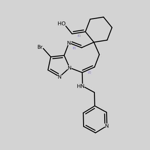 O/C=C1\CCCCC12/C=N/c1c(Br)cnn1/C(NCc1cccnc1)=C\C2